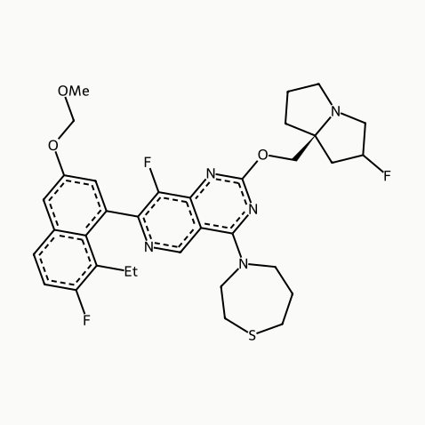 CCc1c(F)ccc2cc(OCOC)cc(-c3ncc4c(N5CCCSCC5)nc(OC[C@@]56CCCN5CC(F)C6)nc4c3F)c12